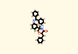 CC1(c2cc(N=C(c3ccccc3)c3ccccc3)ccc2F)COC(Cc2ccccc2)C(=O)N1